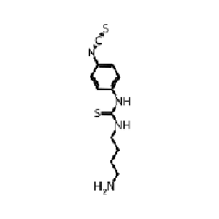 NCCCCNC(=S)Nc1ccc(N=C=S)cc1